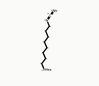 CCCCCCCCCCCCCCN=C=N